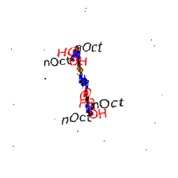 CCCCCCCCC(O)CN(CCCCSSCCN1CCN(CCOC(=O)CCCCN(CC(O)CCCCCCCC)CC(O)CCCCCCCC)CC1)CC(O)CCCCCCCC